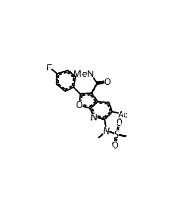 CNC(=O)c1c(-c2ccc(F)cc2)oc2nc(N(C)S(C)(=O)=O)c(C(C)=O)cc12